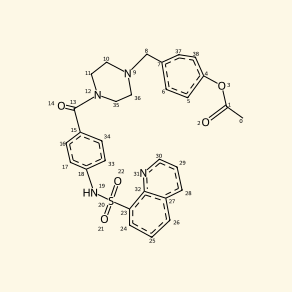 CC(=O)Oc1ccc(CN2CCN(C(=O)c3ccc(NS(=O)(=O)c4cccc5cccnc45)cc3)CC2)cc1